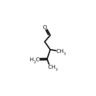 C=C(C)C(C)CC=O